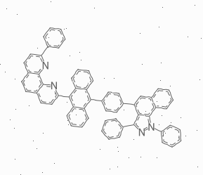 c1ccc(-c2ccc3ccc4ccc(-c5c6ccccc6c(-c6ccc(-c7cc8ccccc8c8c7c(-c7ccccc7)nn8-c7ccccc7)cc6)c6ccccc56)nc4c3n2)cc1